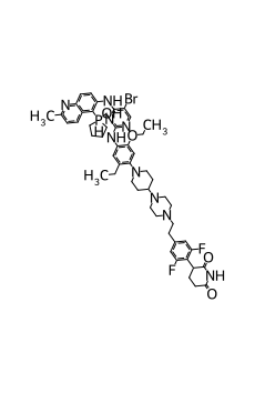 CCOc1cc(N2CCC(N3CCN(CCc4cc(F)c(C5CCC(=O)NC5=O)c(F)c4)CC3)CC2)c(CC)cc1Nc1ncc(Br)c(Nc2ccc3nc(C)ccc3c2[PH]2(O)CCCC2)n1